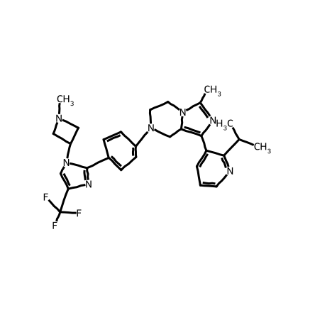 Cc1nc(-c2cccnc2C(C)C)c2n1CCN(c1ccc(-c3nc(C(F)(F)F)cn3C3CN(C)C3)cc1)C2